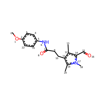 COc1ccc(NC(=O)CCc2c(C)c(C=O)n(C)c2C)cc1